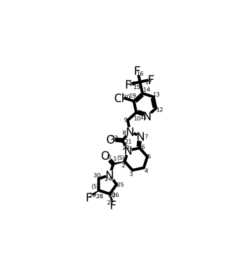 O=C([C@@H]1CCCc2nn(Cc3nccc(C(F)(F)F)c3Cl)c(=O)n21)N1C[C@@H](F)[C@@H](F)C1